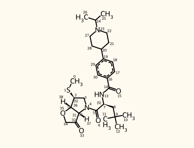 CS[C@H]1CN(C(=O)[C@H](CC(C)(C)C)NC(=O)c2ccc(C3CCN(C(C)C)CC3)cc2)[C@@H]2C(=O)CO[C@H]12